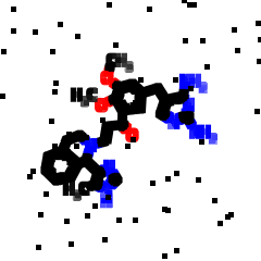 COc1cc(Cc2cnc(N)nc2N)cc(C(=O)/C=C/N2CCc3ccccc3C2c2nc[nH]c2C)c1OC